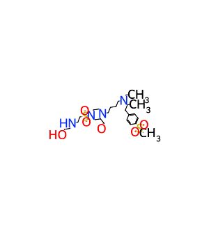 CCN(CCCCN1CCN(S(=O)(=O)CCNCCO)CC1C=O)C(C)Cc1ccc(S(C)(=O)=O)cc1